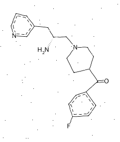 N[C@H](Cc1cccnc1)CN1CCC(C(=O)c2ccc(F)cc2)CC1